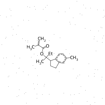 C=C(C)C(=O)OC(C)(CC)C1CCc2cc(C)ccc21